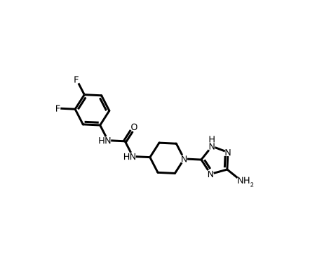 Nc1n[nH]c(N2CCC(NC(=O)Nc3ccc(F)c(F)c3)CC2)n1